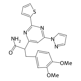 COc1ccc(CC(C(N)=O)c2cc(-n3cccn3)nc(-c3cccs3)n2)cc1OC